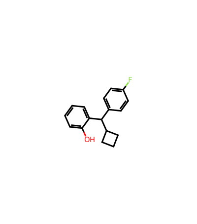 Oc1ccccc1C(c1ccc(F)cc1)C1CCC1